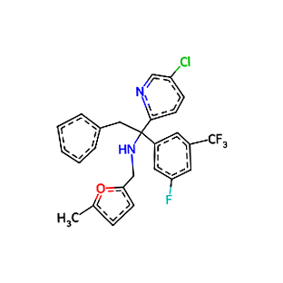 Cc1ccc(CNC(Cc2ccccc2)(c2cc(F)cc(C(F)(F)F)c2)c2ccc(Cl)cn2)o1